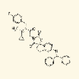 C[C@@H](C1CC1)N(Cc1ccc(F)cc1)C(=O)CN1C(=O)OC2(CCc3cc(N=C(c4ccccc4)c4ccccc4)ccc32)C1=O